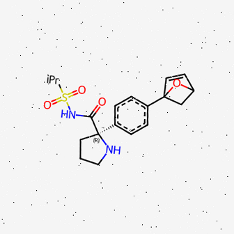 CC(C)S(=O)(=O)NC(=O)[C@]1(c2ccc(C34C=CC(C3)O4)cc2)CCCN1